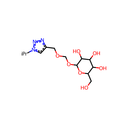 CC(C)n1cc(COCOC2OC(CO)C(O)C(O)C2O)nn1